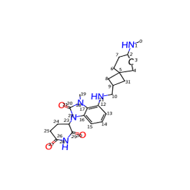 CNC1CCC2(CC1)CC(CNc1cccc3c1n(C)c(=O)n3C1CCC(=O)NC1=O)C2